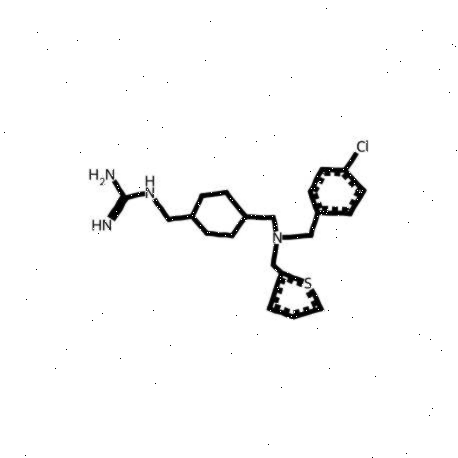 N=C(N)NCC1CCC(CN(Cc2ccc(Cl)cc2)Cc2cccs2)CC1